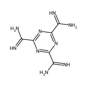 N=C(N)c1nc(C(=N)N)nc(C(=N)N)n1